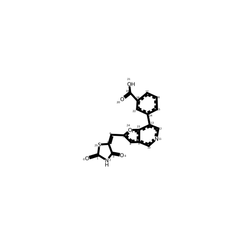 O=C1NC(=O)/C(=C\c2cc3cncc(-c4cccc(C(=O)O)c4)c3o2)S1